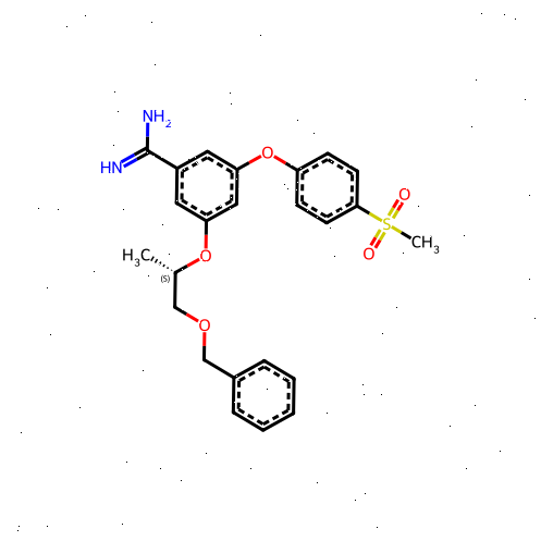 C[C@@H](COCc1ccccc1)Oc1cc(Oc2ccc(S(C)(=O)=O)cc2)cc(C(=N)N)c1